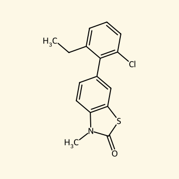 CCc1cccc(Cl)c1-c1ccc2c(c1)sc(=O)n2C